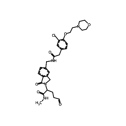 CNC(=O)C(CCC=O)N1Cc2cc(CNC(=O)Cc3ccc(OCCN4CCOCC4)c(Cl)c3)ccc2C1=O